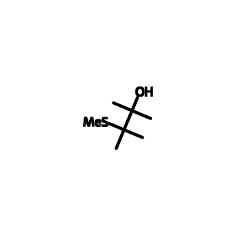 CSC(C)(C)C(C)(C)O